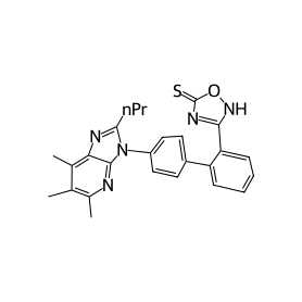 CCCc1nc2c(C)c(C)c(C)nc2n1-c1ccc(-c2ccccc2-c2nc(=S)o[nH]2)cc1